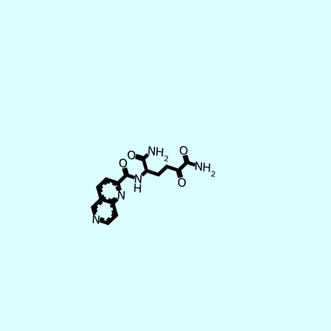 NC(=O)C(=O)CCC(NC(=O)c1ccc2cnccc2n1)C(N)=O